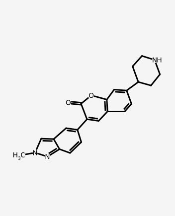 Cn1cc2cc(-c3cc4ccc(C5CCNCC5)cc4oc3=O)ccc2n1